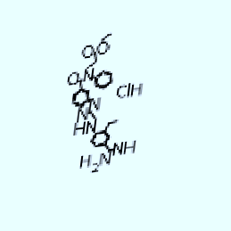 CCOC(=O)CCN(C(=O)c1ccc2c(c1)nc(CNc1ccc(C(=N)N)cc1CC)n2C)c1ccccc1.Cl